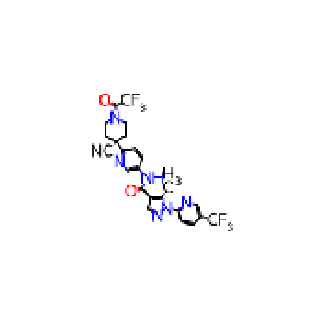 Cc1c(C(=O)Nc2ccc(C3(C#N)CCN(C(=O)C(F)(F)F)CC3)nc2)cnn1-c1ccc(C(F)(F)F)cn1